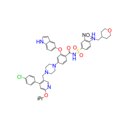 CC(C)Oc1cc(-c2ccc(Cl)cc2)c(CN2CCN(c3ccc(C(=O)NS(=O)(=O)c4ccc(NCC5CCOCC5)c([N+](=O)[O-])c4)c(Oc4ccc5[nH]ccc5c4)c3)CC2)cn1